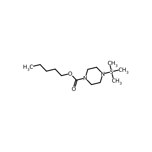 CCCCCOC(=O)N1CCN(S(C)(C)C)CC1